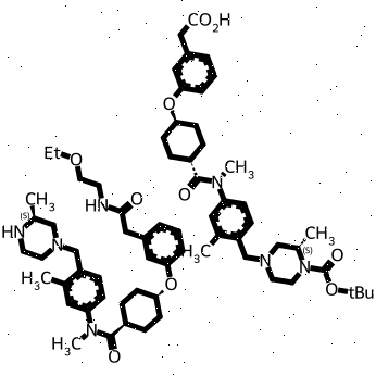 CCOCCNC(=O)Cc1cccc(O[C@H]2CC[C@H](C(=O)N(C)c3ccc(CN4CCN[C@@H](C)C4)c(C)c3)CC2)c1.Cc1cc(N(C)C(=O)[C@H]2CC[C@H](Oc3cccc(CC(=O)O)c3)CC2)ccc1CN1CCN(C(=O)OC(C)(C)C)[C@@H](C)C1